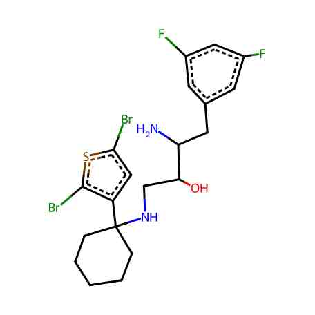 NC(Cc1cc(F)cc(F)c1)C(O)CNC1(c2cc(Br)sc2Br)CCCCC1